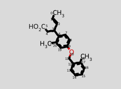 CC=CC(CC(=O)O)c1ccc(OCc2ccccc2C)cc1C